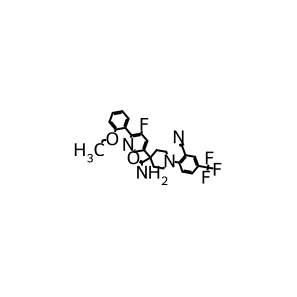 CCOc1ccccc1-c1ncc(C2(C(N)=O)CCN(c3ccc(C(F)(F)F)cc3C#N)CC2)cc1F